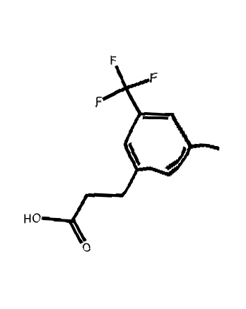 Cc1cc(CCC(=O)O)cc(C(F)(F)F)c1